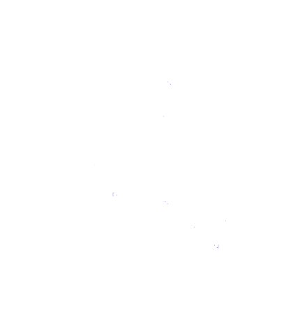 Cc1nc(N)nc(N2CCC(NC(=O)c3ccccc3)CC2)c1C#Cc1ccc(N)nc1